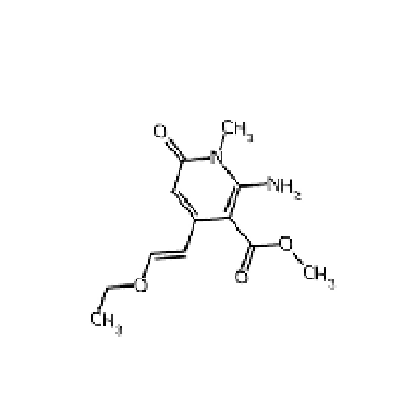 CCO/C=C/c1cc(=O)n(C)c(N)c1C(=O)OC